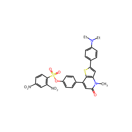 CCN(CC)c1ccc(-c2cc3c(s2)c(-c2ccc(OS(=O)(=O)c4ccc([N+](=O)[O-])cc4[N+](=O)[O-])cc2)cc(=O)n3C)cc1